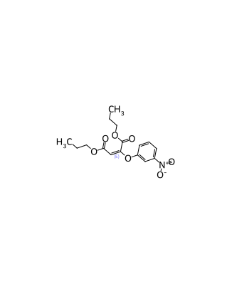 CCCOC(=O)/C=C(/Oc1cccc([N+](=O)[O-])c1)C(=O)OCCC